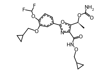 C[C@H](OC(N)=O)c1oc(-c2ccc(OC(F)F)c(OCC3CC3)c2)nc1C(=O)NOCC1CC1